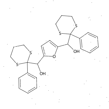 OC(c1ccc(C(O)C2(c3ccccc3)SCCCS2)o1)C1(c2ccccc2)SCCCS1